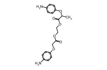 CC(Oc1ccc(N)cc1)C(=O)OCCOC(=O)COc1ccc(N)cc1